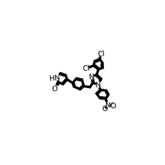 O=c1cc(-c2ccc(Cc3nc(-c4ccc(Cl)cc4Cl)cn3-c3ccc([N+](=O)[O-])cc3)cc2)cc[nH]1